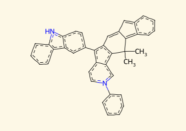 CC1(C)C2=c3ccccc3=CC2=Cc2c(-c3ccc4[nH]c5ccccc5c4c3)c3ccn(-c4ccccc4)cc-3c21